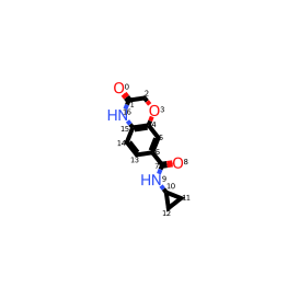 O=C1COc2cc(C(=O)NC3CC3)ccc2N1